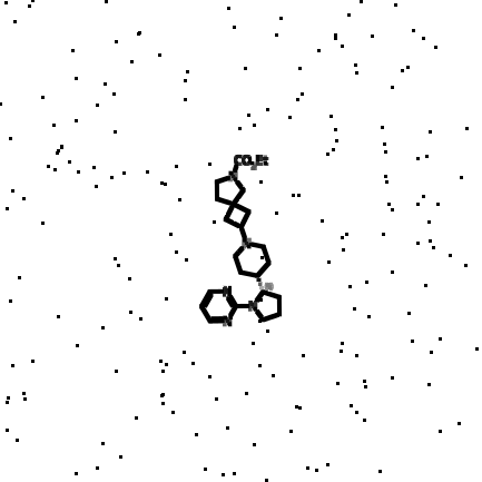 CCOC(=O)N1CCC2(CC(N3CCC([C@@H]4CCCN4c4ncccn4)CC3)C2)C1